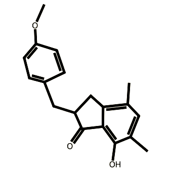 COc1ccc(CC2Cc3c(C)cc(C)c(O)c3C2=O)cc1